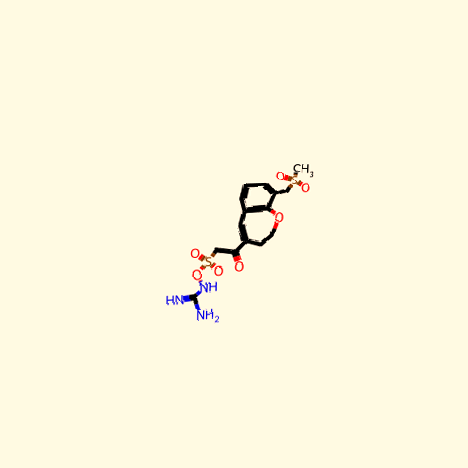 CS(=O)(=O)Cc1cccc2c1OCCC(C(=O)CS(=O)(=O)ONC(=N)N)=C2